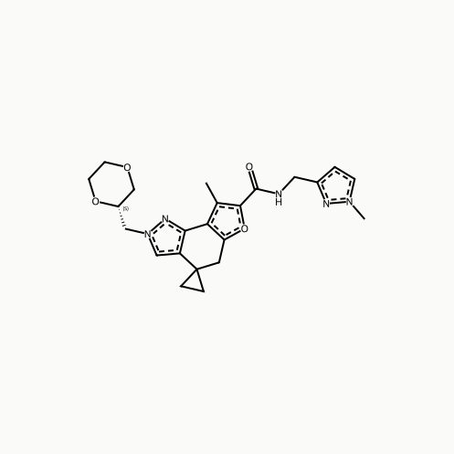 Cc1c(C(=O)NCc2ccn(C)n2)oc2c1-c1nn(C[C@H]3COCCO3)cc1C1(CC1)C2